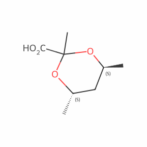 C[C@H]1C[C@H](C)OC(C)(C(=O)O)O1